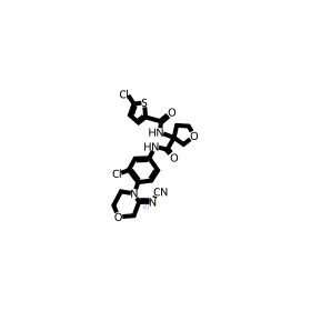 N#C/N=C1/COCCN1c1ccc(NC(=O)C2(NC(=O)c3ccc(Cl)s3)CCOC2)cc1Cl